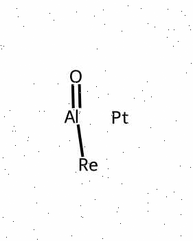 [O]=[Al][Re].[Pt]